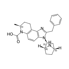 C[C@H]1CCc2c(ccc3c2nc(Cc2ccccc2)n3[C@H]2C[C@@H]3CC[C@H]2N3)N1C(=O)O